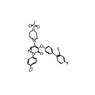 CS(=O)(=O)N1CCN(c2cnn(-c3ccc(Cl)cc3)c(=O)c2Oc2ccc(-c3ccc(F)cc3F)cc2)CC1